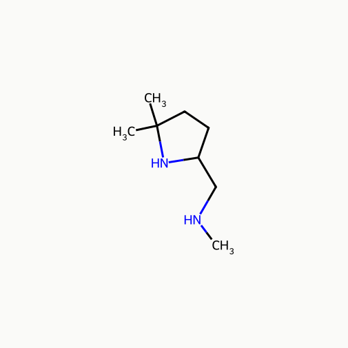 CNCC1CCC(C)(C)N1